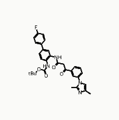 Cc1cn(-c2cccc(C(=O)CC(=O)Nc3cc(-c4ccc(F)cc4)ccc3NC(=O)OC(C)(C)C)c2)c(C)n1